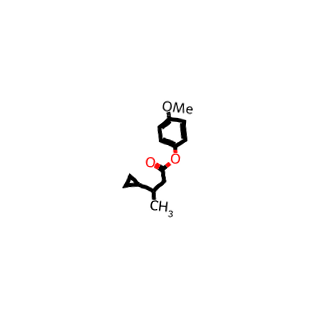 COc1ccc(OC(=O)CC(C)C2CC2)cc1